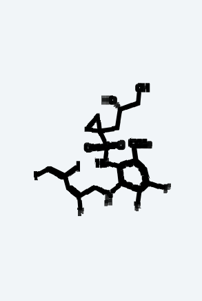 COc1cc(F)c(F)c(NC/C(F)=C\C(I)=C/I)c1NS(=O)(=O)C1(C[C@H](O)CO)CC1